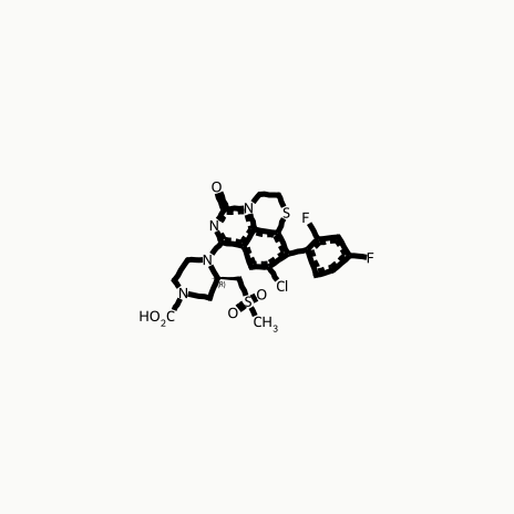 CS(=O)(=O)C[C@H]1CN(C(=O)O)CCN1c1nc(=O)n2c3c(c(-c4ccc(F)cc4F)c(Cl)cc13)SCC2